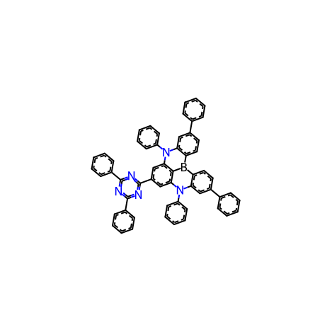 c1ccc(-c2ccc3c(c2)N(c2ccccc2)c2cc(-c4nc(-c5ccccc5)nc(-c5ccccc5)n4)cc4c2B3c2ccc(-c3ccccc3)cc2N4c2ccccc2)cc1